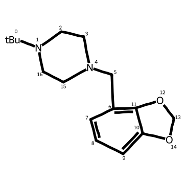 CC(C)(C)N1CCN(Cc2cccc3c2OCO3)CC1